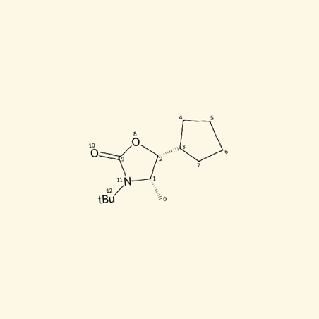 C[C@H]1[C@@H](C2CCCC2)OC(=O)N1C(C)(C)C